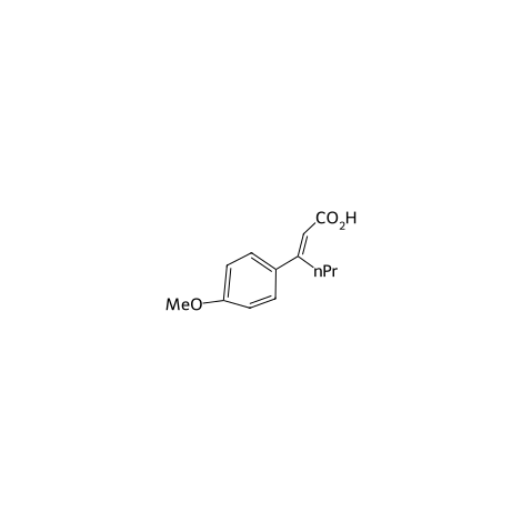 CCCC(=CC(=O)O)c1ccc(OC)cc1